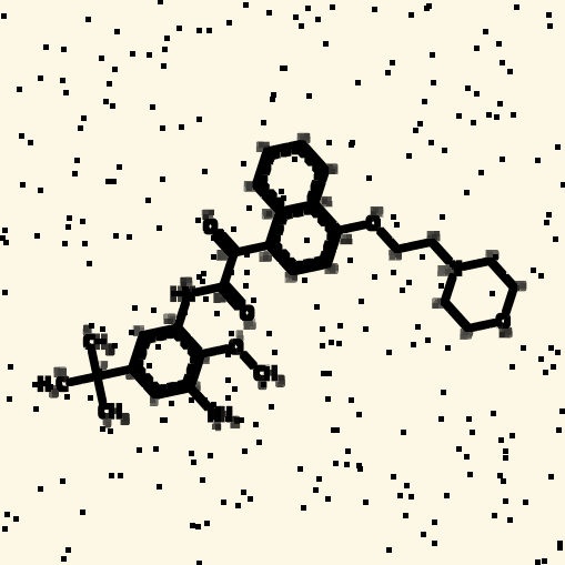 COc1c(N)cc(C(C)(C)C)cc1NC(=O)C(=O)c1ccc(OCCN2CCOCC2)c2ccccc12